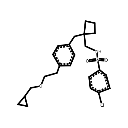 O=S(=O)(NCC1(Cc2ccc(CCOCC3CC3)cc2)CCC1)c1ccc(Cl)cc1